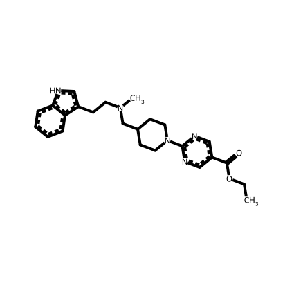 CCOC(=O)c1cnc(N2CCC(CN(C)CCc3c[nH]c4ccccc34)CC2)nc1